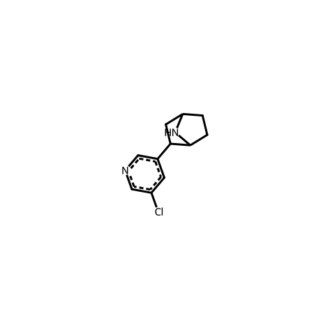 Clc1cncc(C2CC3CCC2N3)c1